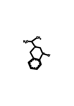 CC(C)N1Cc2ccccc2[S+]([O-])C1